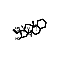 C=C[C@@]1(O)C(O)C[C@H]2[C@@H]3CCC4CCCC[C@]4(C)[C@H]3CC[C@@]21C